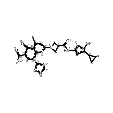 CCCn1nc(NC(=O)C2CN(c3cc(C)c4c(=O)c(C(=O)N=O)cn(-c5ncns5)c4n3)C2)cc1C1CC1